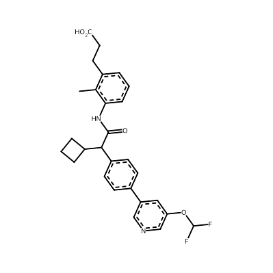 Cc1c(CCC(=O)O)cccc1NC(=O)C(c1ccc(-c2cncc(OC(F)F)c2)cc1)C1CCC1